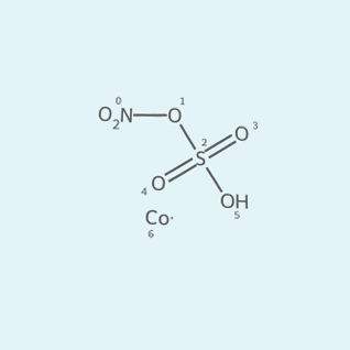 O=[N+]([O-])OS(=O)(=O)O.[Co]